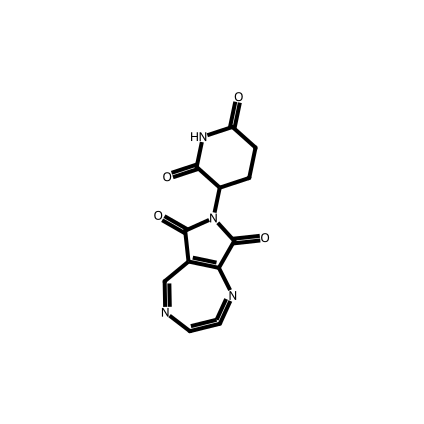 O=C1CCC(N2C(=O)C3=C(N=C=CN=C3)C2=O)C(=O)N1